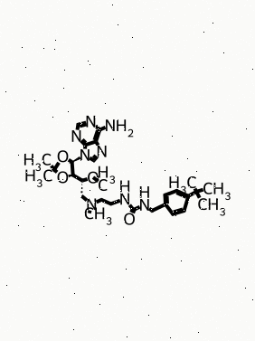 CO[C@H](CN(C)CCNC(=O)NCc1ccc(C(C)(C)C)cc1)[C@H]1OC(C)(C)O[C@H]1n1cnc2c(N)ncnc21